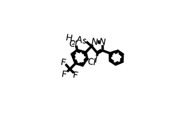 FC(F)(F)c1cc(Cl)c(C2([AsH2])N=NC(c3ccccc3)=C2I)c(Cl)c1